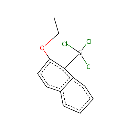 CCOc1ccc2ccccc2c1[Si](Cl)(Cl)Cl